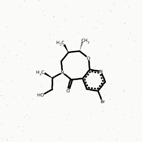 C[C@@H]1CN([C@H](C)CO)C(=O)c2cc(Br)cnc2O[C@H]1C